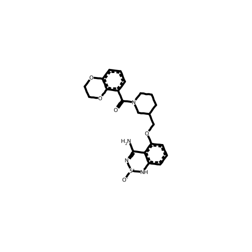 NC1=N[S+]([O-])Nc2cccc(OCC3CCCN(C(=O)c4cccc5c4OCCO5)C3)c21